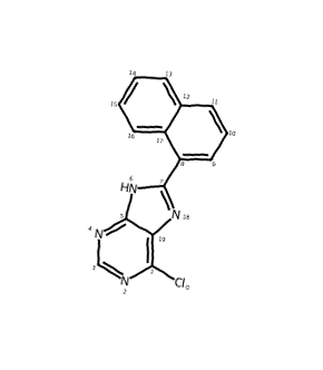 Clc1ncnc2[nH]c(-c3cccc4ccccc34)nc12